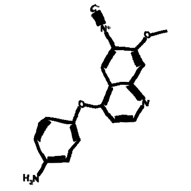 [C-]#[N+]c1cc2c(Oc3ccc(N)cc3)ccnc2cc1OC